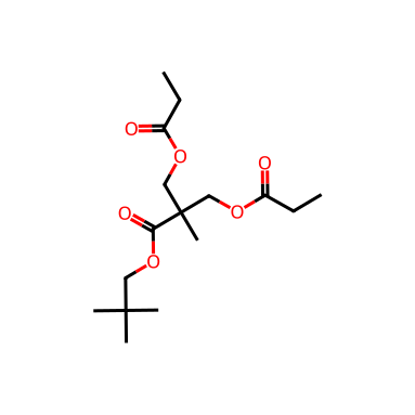 CCC(=O)OCC(C)(COC(=O)CC)C(=O)OCC(C)(C)C